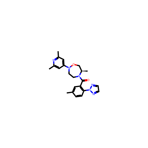 Cc1ccc(-n2nccn2)c(C(=O)N2CCN(c3cc(C)nc(C)c3)OC[C@H]2C)c1